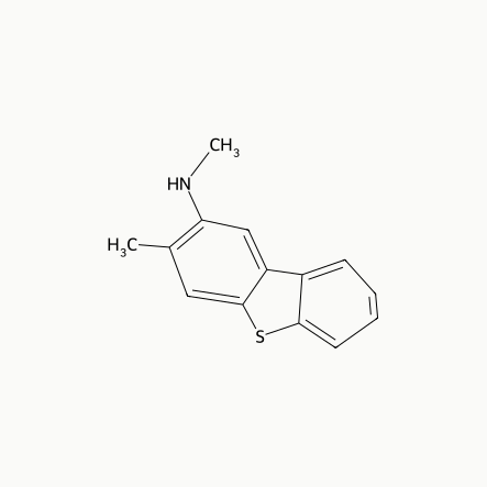 CNc1cc2c(cc1C)sc1ccccc12